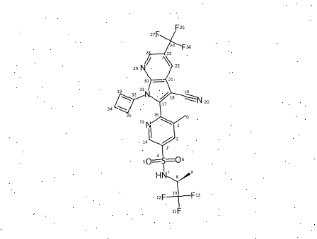 Cc1cc(S(=O)(=O)N[C@@H](C)C(F)(F)F)cnc1-c1c(C#N)c2cc(C(F)(F)F)cnc2n1C1=CC=C1